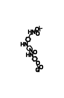 COC(=O)COc1ccc(NC(=O)N2CCC(Nc3ccc(CCNC(=O)OC(C)(C)C)cc3)CC2)cc1